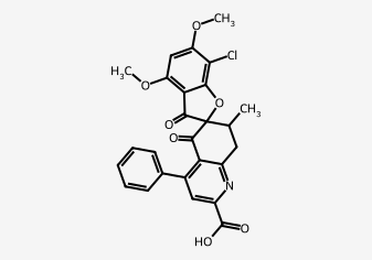 COc1cc(OC)c2c(c1Cl)OC1(C(=O)c3c(-c4ccccc4)cc(C(=O)O)nc3CC1C)C2=O